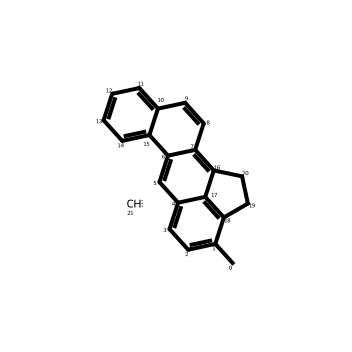 Cc1ccc2cc3c(ccc4ccccc43)c3c2c1CC3.[CH]